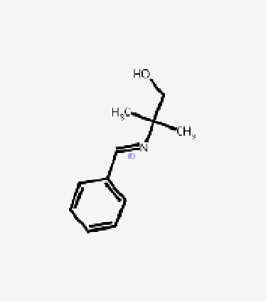 CC(C)(CO)/N=C/c1ccccc1